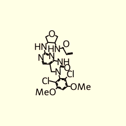 C=CC(=O)NC1COCC1Nc1ncc2c(n1)NC(=O)N(c1c(Cl)c(OC)cc(OC)c1Cl)C2